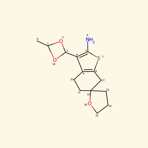 CC1OC(c2c(N)sc3c2CCC2(CCCO2)C3)O1